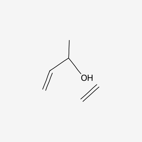 C=C.C=CC(C)O